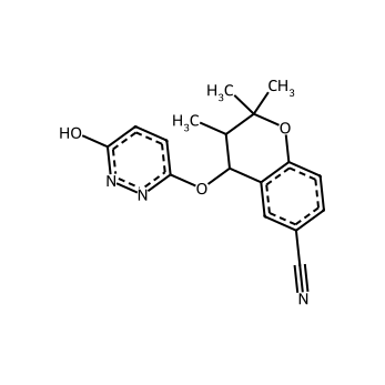 CC1C(Oc2ccc(O)nn2)c2cc(C#N)ccc2OC1(C)C